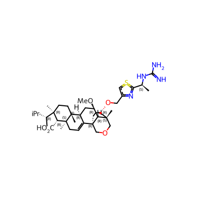 CO[C@@H]1C[C@@]23COC[C@](C)([C@@H]2CC[C@H]2C3=CC[C@@]3(C)[C@H](C(=O)O)[C@@](C)([C@H](C)C(C)C)CC[C@]23C)[C@H]1OCc1csc([C@H](C)NC(=N)N)n1